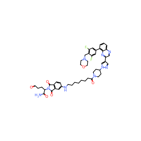 NC(=O)C(CCC=O)N1C(=O)c2ccc(NCCCCCCCC(=O)N3CCC(n4cc(-c5cnc6cccc(-c7cc(F)c(CN8CCOCC8)c(F)c7)c6n5)cn4)CC3)cc2C1=O